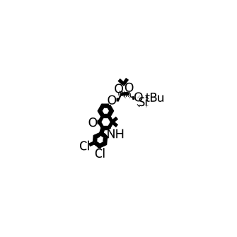 CC1(C)O[C@H](COc2ccc3c(c2)C(C)(C)c2[nH]c4cc(Cl)c(Cl)cc4c2C3=O)[C@@H](CO[Si](C)(C)C(C)(C)C)O1